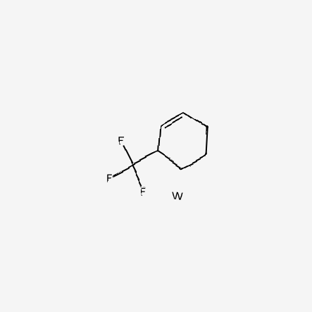 FC(F)(F)C1C=CCCC1.[W]